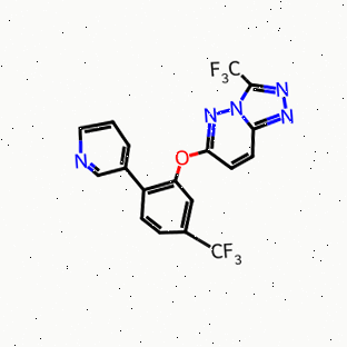 FC(F)(F)c1ccc(-c2cccnc2)c(Oc2ccc3nnc(C(F)(F)F)n3n2)c1